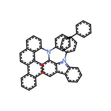 c1ccc(-c2ccc(N(c3cccc4ccc5c6ccccc6ccc5c34)c3cccc4c5ccccc5n(-c5ccccc5)c34)cc2)cc1